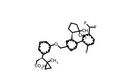 CC1(C)CCC[C@@H]1c1cc(COc2cccc([C@H](CC(=O)O)C3(C)CC3)c2)ccc1-c1cc(C(F)F)ccc1F